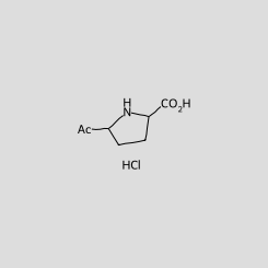 CC(=O)C1CCC(C(=O)O)N1.Cl